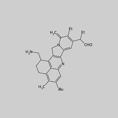 C=C1C(CC)=C(C(C=O)CC)C=C2c3nc4cc(C(C)CC)c(C)c5c4c(c3CN12)C(CN)CC5